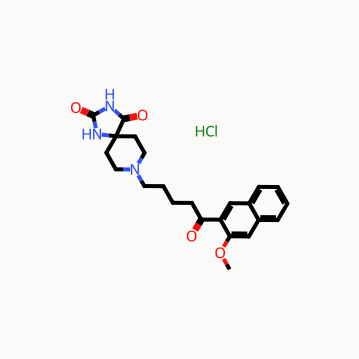 COc1cc2ccccc2cc1C(=O)CCCCN1CCC2(CC1)NC(=O)NC2=O.Cl